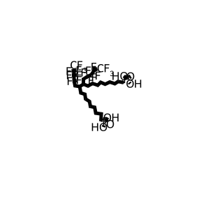 O=P(O)(O)CCCCCCCCCC(CC(F)(F)C(F)(F)C(F)(F)C(F)(F)F)C(CCCCCCCCCP(=O)(O)O)CC(F)(F)C(F)(F)C(F)(F)C(F)(F)F